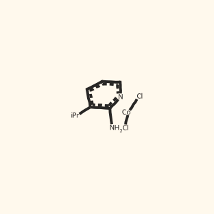 CC(C)c1cccnc1N.[Cl][Co][Cl]